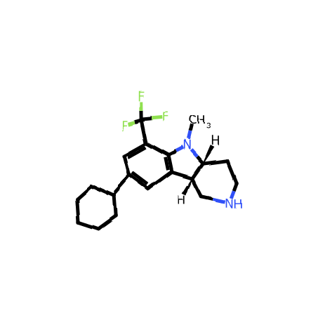 CN1c2c(cc(C3CCCCC3)cc2C(F)(F)F)[C@H]2CNCC[C@H]21